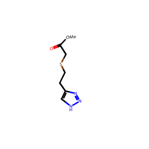 COC(=O)CSCCc1c[nH]nn1